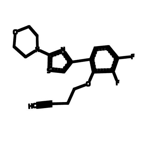 C#CCCOc1c(-c2csc(N3CCOCC3)n2)ccc(F)c1F